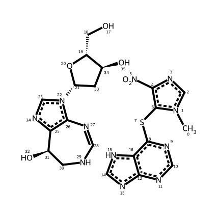 Cn1cnc([N+](=O)[O-])c1Sc1ncnc2nc[nH]c12.OC[C@H]1O[C@@H](n2cnc3c2N=CNC[C@H]3O)C[C@@H]1O